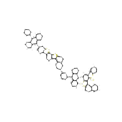 c1ccc(-c2c3ccccc3c(-c3ccc4c(c3)sc3c4ccc4c3sc3ccc5cc(-c6cccc(-c7c8ccccc8c(-c8cc9c%10ccccc%10sc9c9c8sc8ccc%10ccccc%10c89)c8ccccc78)c6)ccc5c34)c3ccccc23)cc1